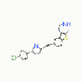 Clc1ccc(-c2ccc(C#Cc3ccc4sc5c(c4c3)CCNCC5)nc2)cc1